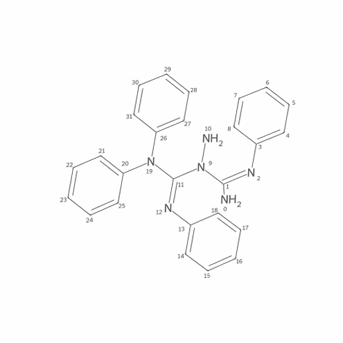 NC(=Nc1ccccc1)N(N)C(=Nc1ccccc1)N(c1ccccc1)c1ccccc1